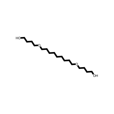 OCCCCOCCCCCCCCCOCCCCO